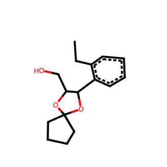 CCc1ccccc1C1OC2(CCCC2)OC1CO